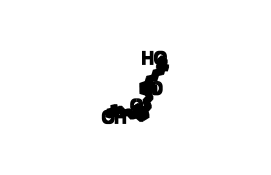 CC(C)(CO)CCCCC1=CC=C(CCCC2=CC=C(CCCCC(C)(C)CO)C2=O)C1=O